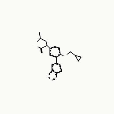 CC(C)CC(C(=O)O)c1ccc(OCC2CC2)c(-c2ccc3nonc3c2)c1